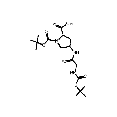 CC(C)(C)OC(=O)NCC(=O)N[C@@H]1C[C@H](C(=O)O)N(C(=O)OC(C)(C)C)C1